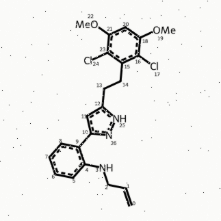 C=CCNc1ccccc1-c1cc(CCc2c(Cl)c(OC)cc(OC)c2Cl)[nH]n1